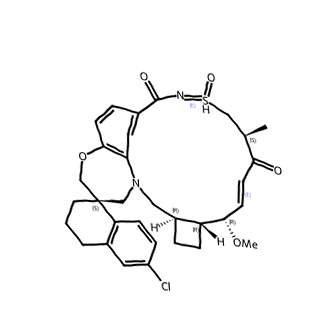 CO[C@H]1/C=C/C(=O)[C@H](C)C/[SH](=O)=N\C(=O)c2ccc3c(c2)N(C[C@@H]2CC[C@H]21)C[C@@]1(CCCc2cc(Cl)ccc21)CO3